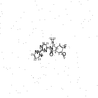 COc1cc2c(cc1F)C(C1CC1)N(c1ccnc(-c3ncccn3)n1)C2=O